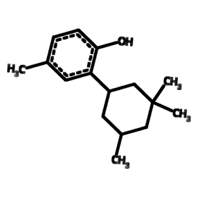 Cc1ccc(O)c(C2CC(C)CC(C)(C)C2)c1